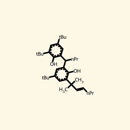 CCCC=CC(C)(C)c1cc(C(C)(C)C)cc(C(CCC)c2cc(C(C)(C)C)cc(C(C)(C)C)c2O)c1O